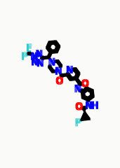 O=C(Nc1ccc2oc(-c3ccnc(C(=O)N4CCN(C(c5ccccc5)c5nnn(C(F)F)n5)CC4)c3)nc2c1)[C@H]1C[C@H]1F